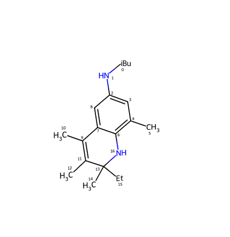 CCC(C)Nc1cc(C)c2c(c1)C(C)=C(C)C(C)(CC)N2